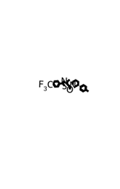 Cc1ccc([C@H]2CCCN(C(=O)c3sc(-c4ccc(C(F)(F)F)cc4)nc3C)C2)cc1